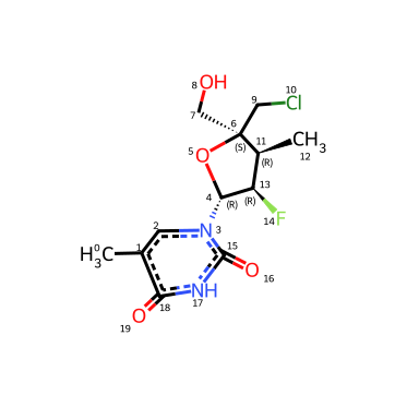 Cc1cn([C@@H]2O[C@@](CO)(CCl)[C@@H](C)[C@H]2F)c(=O)[nH]c1=O